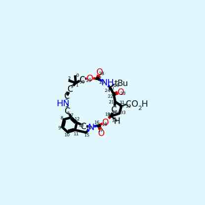 CC1(C)CCNCc2cccc3c2CN(C3)C(=O)O[C@@H]2CC(C(=O)[C@H](C(C)(C)C)NC(=O)OC1)[C@@H](C(=O)O)C2